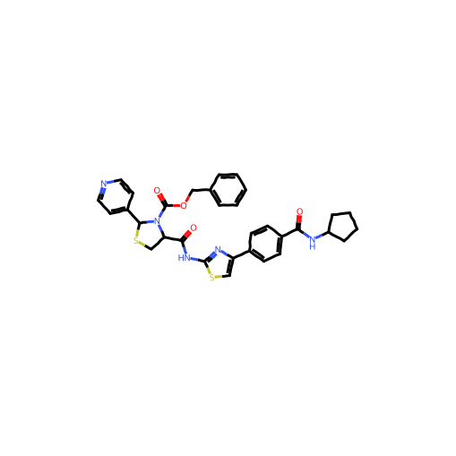 O=C(NC1CCCC1)c1ccc(-c2csc(NC(=O)C3CSC(c4ccncc4)N3C(=O)OCc3ccccc3)n2)cc1